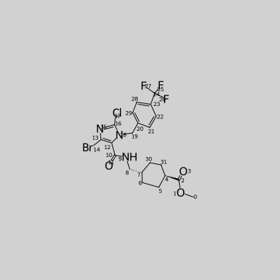 COC(=O)[C@H]1CC[C@H](CNC(=O)c2c(Br)nc(Cl)n2Cc2ccc(C(F)(F)F)cc2)CC1